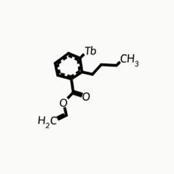 C=COC(=O)c1ccc[c]([Tb])c1CCCC